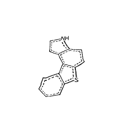 c1ccc2c(c1)sc1ccc3[nH]ccc3c12